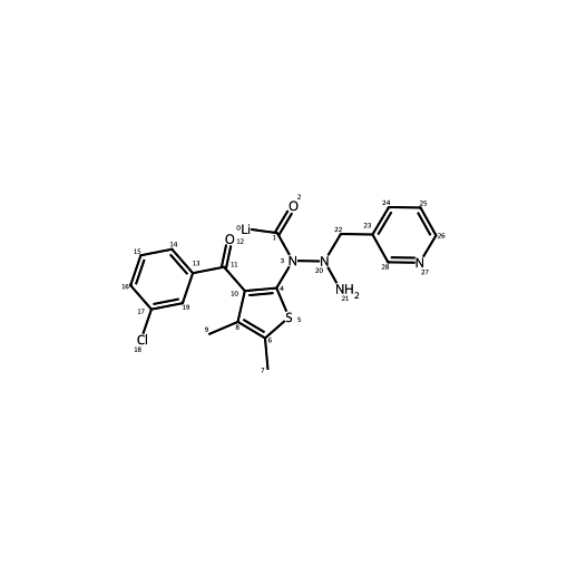 [Li][C](=O)N(c1sc(C)c(C)c1C(=O)c1cccc(Cl)c1)N(N)Cc1cccnc1